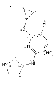 Cl.Clc1cnc(N[C@@H]2CCNC2)nc1OC1CC1